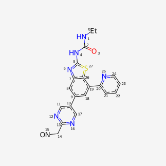 CCNC(=O)Nc1nc2cc(-c3cnc(CN=O)nc3)cc(-c3ccccn3)c2s1